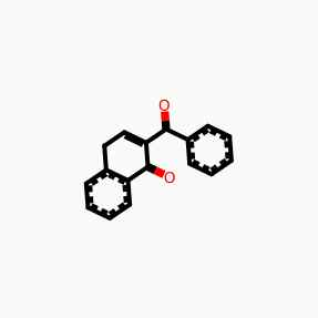 O=C(C1=CCc2ccccc2C1=O)c1ccccc1